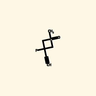 C#CC1(F)CP(C)(=O)C1